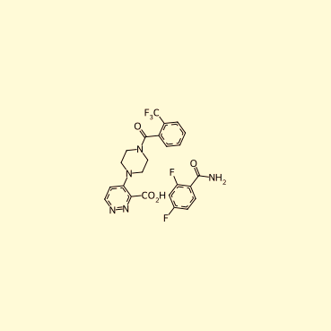 NC(=O)c1ccc(F)cc1F.O=C(O)c1nnccc1N1CCN(C(=O)c2ccccc2C(F)(F)F)CC1